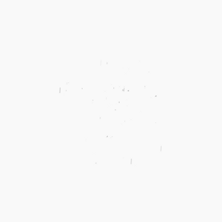 CCCCOC(CC)[Si](OC)(OC)OC(OCCC)(OCCC)OCCC